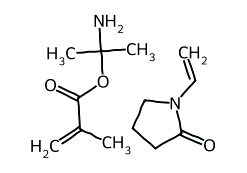 C=C(C)C(=O)OC(C)(C)N.C=CN1CCCC1=O